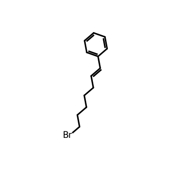 BrCCCCCC=Cc1ccccc1